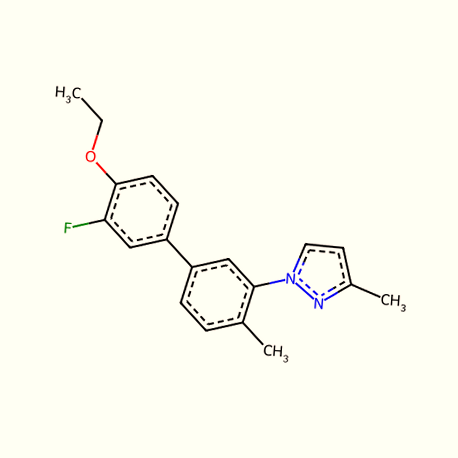 CCOc1ccc(-c2ccc(C)c(-n3ccc(C)n3)c2)cc1F